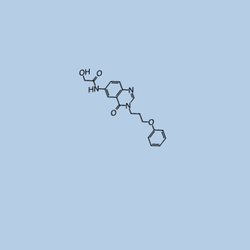 O=C(CO)Nc1ccc2ncn(CCCOc3ccccc3)c(=O)c2c1